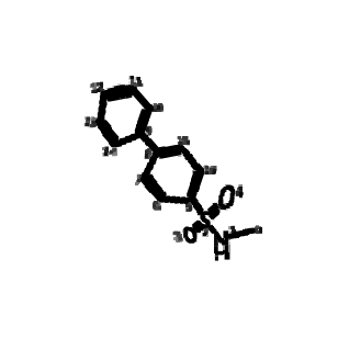 CNS(=O)(=O)c1ccc(-c2ccccc2)cc1